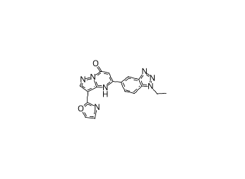 CCn1nnc2cc(-c3cc(=O)n4ncc(-c5ncco5)c4[nH]3)ccc21